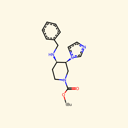 CC(C)(C)OC(=O)N1CC[C@@H](NCc2ccccc2)[C@@H](n2ccnc2)C1